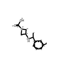 Cc1cccc(C(C)NC2CN(C(=O)O)C2)c1